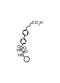 O=C(O)CCCc1ccc(-c2ccc(S(=O)(=O)NC(=O)NC3CCCCC3)cc2)cc1